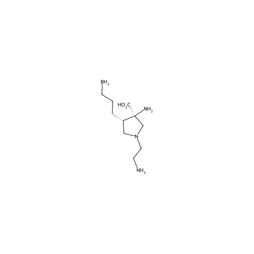 BCCC[C@H]1CN(CCN)C[C@@]1(N)C(=O)O